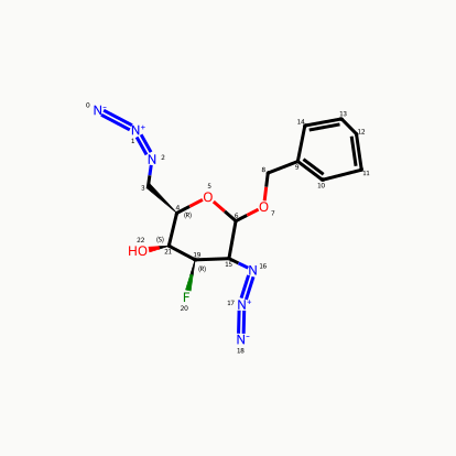 [N-]=[N+]=NC[C@H]1OC(OCc2ccccc2)C(N=[N+]=[N-])[C@@H](F)[C@H]1O